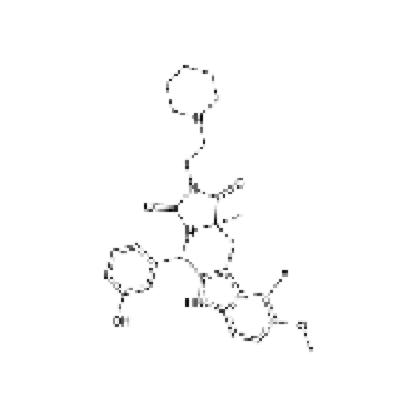 COc1ccc2[nH]c3c(c2c1F)CC1(C)C(=O)N(CCN2CCCCC2)C(=O)N1C3c1cccc(O)c1